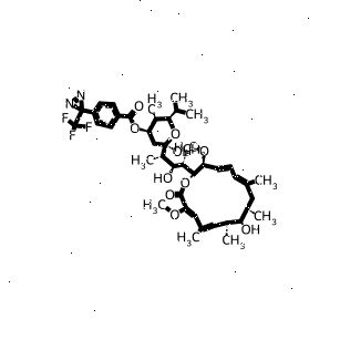 CO/C1=C\C(C)=C\[C@@H](C)[C@@H](O)[C@@H](C)C/C(C)=C/C=C/[C@H](OC)[C@@H]([C@@H](C)[C@@H](O)[C@H](C)[C@@]2(O)C[C@@H](OC(=O)c3ccc(C4(C(F)(F)F)N=N4)cc3)[C@H](C)[C@@H](C(C)C)O2)OC1=O